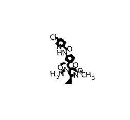 COc1nc(C2CC2)cc2c1Oc1ccc(NC(=O)c3ccc(Cl)cn3)cc1[C@@]21CCOC(N)=N1